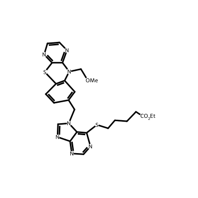 CCOC(=O)CCCCSc1ncnc2ncn(Cc3ccc4c(c3)N(COC)c3nccnc3S4)c12